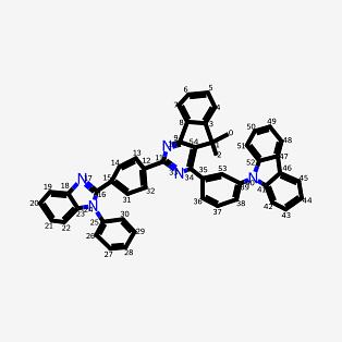 CC1(C)c2ccccc2-c2nc(-c3ccc(-c4nc5ccccc5n4-c4ccccc4)cc3)nc(-c3cccc(-n4c5ccccc5c5ccccc54)c3)c21